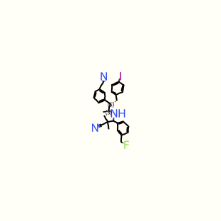 C[C@H](NC(c1cccc(CF)c1)C(C)(C)C#N)[C@@H](Cc1ccc(I)cc1)c1cccc(C#N)c1